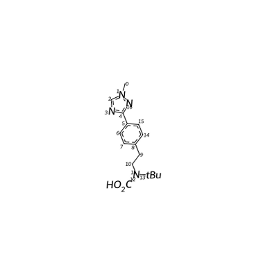 Cn1cnc(-c2ccc(CCN(C(=O)O)C(C)(C)C)cc2)n1